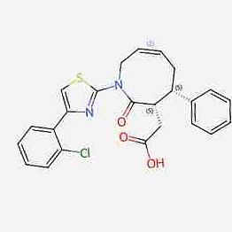 O=C(O)C[C@@H]1C(=O)N(c2nc(-c3ccccc3Cl)cs2)C/C=C\C[C@@H]1c1ccccc1